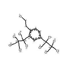 [O]CCc1ccc(C(Cl)(Cl)C(Cl)(Cl)Cl)cc1C(Cl)(Cl)C(Cl)(Cl)Cl